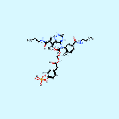 CCCNC(=O)c1ccc(C)c(N(C(=O)OCOC(=O)Cc2ccc(OP(=O)(O)O)cc2)c2ncnn3cc(C(=O)NCCC)c(C)c23)c1